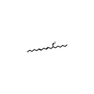 [CH2]CCCCC=CCC=CCC(C=O)CCCCCC